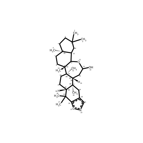 CC1(C)CC[C@]2(C)CC[C@]3(C)C(OC(O)C[C@@H]4[C@@]5(C)Cc6cnoc6C(C)(C)[C@@H]5CC[C@]43C)C2C1